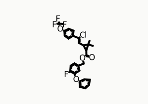 CC1(C)C(C=C(Cl)c2ccc(OC(F)(F)F)cc2)C1C(=O)OCc1ccc(F)c(Oc2ccccc2)c1